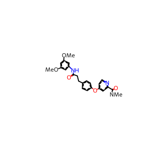 CNC(=O)c1cc(Oc2ccc(CCC(=O)Nc3cc(OC)cc(OC)c3)cc2)ccn1